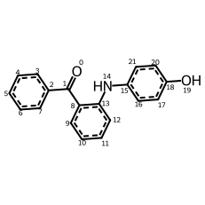 O=C(c1ccccc1)c1ccccc1Nc1ccc(O)cc1